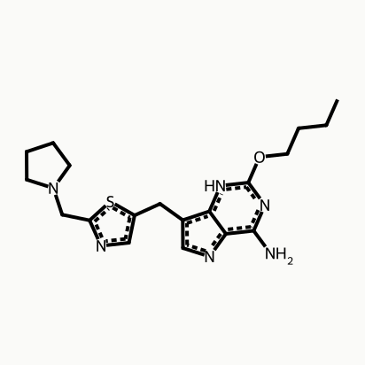 CCCCOc1nc(N)c2ncc(Cc3cnc(CN4CCCC4)s3)c-2[nH]1